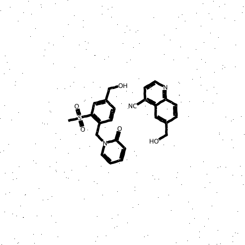 CS(=O)(=O)c1cc(CO)ccc1Cn1ccccc1=O.N#Cc1ccnc2ccc(CO)cc12